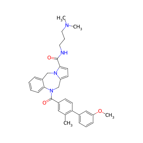 COc1cccc(-c2ccc(C(=O)N3Cc4ccc(C(=O)NCCCN(C)C)n4Cc4ccccc43)cc2C)c1